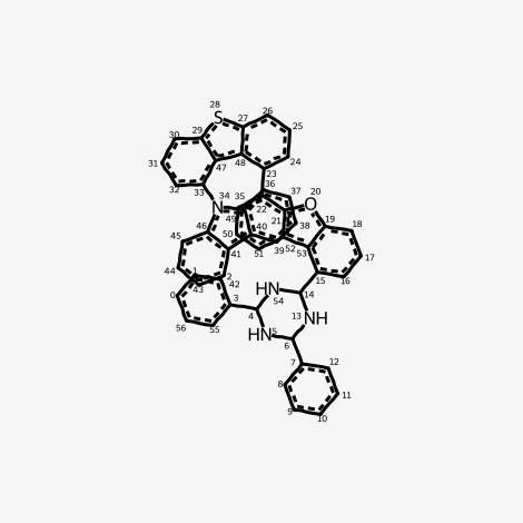 c1ccc(C2NC(c3ccccc3)NC(c3cccc4oc5c(-c6cccc7sc8cccc(-n9c%10ccccc%10c%10ccccc%109)c8c67)cccc5c34)N2)cc1